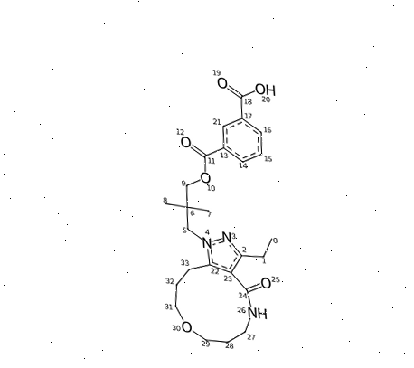 CCc1nn(CC(C)(C)COC(=O)c2cccc(C(=O)O)c2)c2c1C(=O)NCCCOCCC2